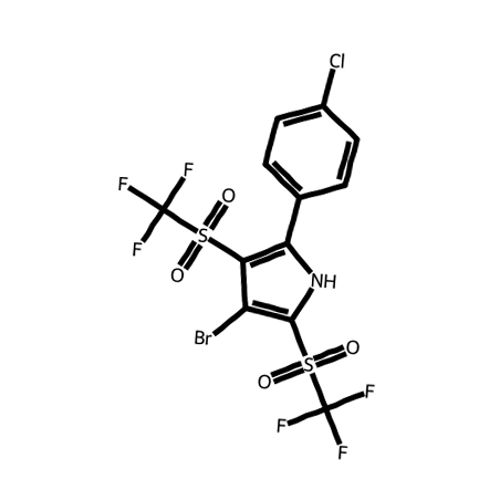 O=S(=O)(c1[nH]c(-c2ccc(Cl)cc2)c(S(=O)(=O)C(F)(F)F)c1Br)C(F)(F)F